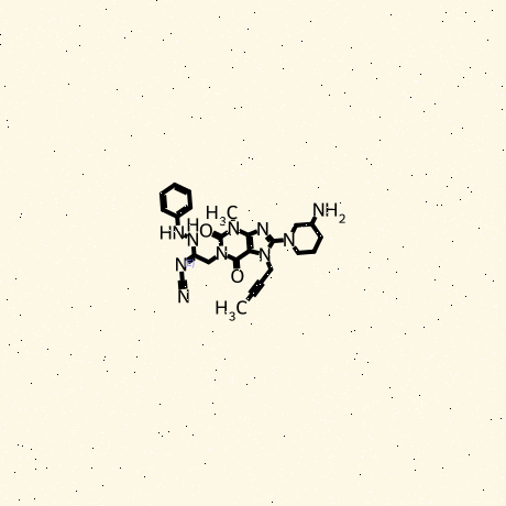 CC#CCn1c(N2CCCC(N)C2)nc2c1c(=O)n(C/C(=N\C#N)NNc1ccccc1)c(=O)n2C